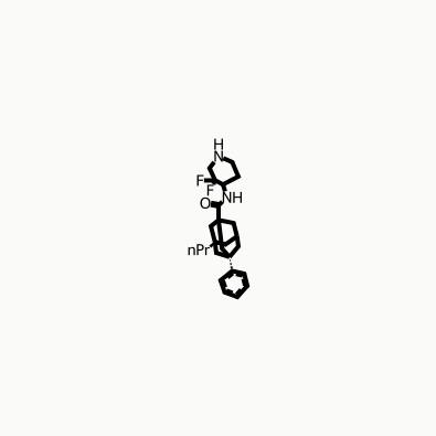 CCC[C@]12CC3CC(C(=O)NC4CCNCC4(F)F)(C1)C[C@@](c1ccccc1)(C3)C2